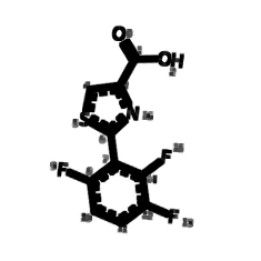 O=C(O)c1csc(-c2c(F)ccc(F)c2F)n1